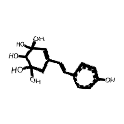 Oc1ccc(C=CC2=CC(O)(O)C(O)C(O)(O)C2)cc1